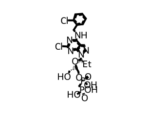 CC[C@@H](O[C@@H](CO)COP(=O)(O)CP(=O)(O)O)n1ncc2c(NCc3ccccc3Cl)nc(Cl)nc21